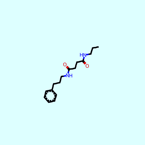 CCCNC(=O)CCC(=O)NCCCc1ccccc1